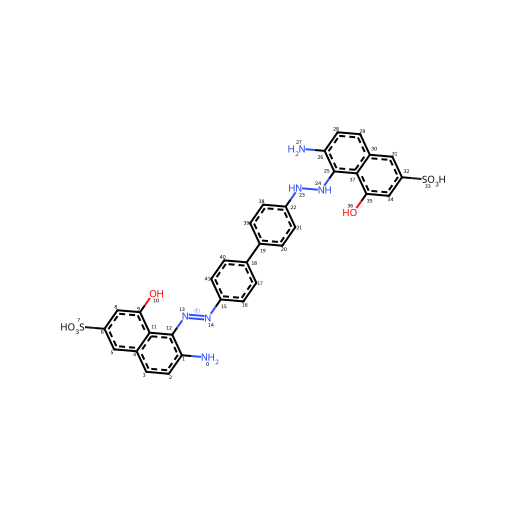 Nc1ccc2cc(S(=O)(=O)O)cc(O)c2c1/N=N/c1ccc(-c2ccc(NNc3c(N)ccc4cc(S(=O)(=O)O)cc(O)c34)cc2)cc1